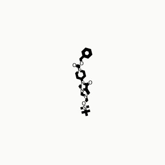 CC(C)(C)[Si](C)(C)OCN1C=C2C(=O)N(C3CCN(C(=O)OCc4ccccc4)CC3)CN2C1